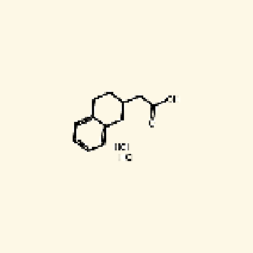 Cl.Cl.O=C(O)CC1CCc2ccccc2C1